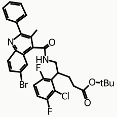 Cc1c(-c2ccccc2)nc2ccc(Br)cc2c1C(=O)NCC(CCC(=O)OC(C)(C)C)c1c(F)ccc(F)c1Cl